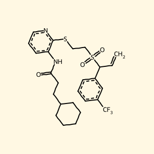 C=CC(c1cccc(C(F)(F)F)c1)S(=O)(=O)CCSc1ncccc1NC(=O)CCC1CCCCC1